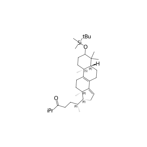 CC(C)C(=O)CC[C@@H](C)[C@H]1CC=C2C3=C(CC[C@@]21C)[C@@]1(C)CCC(O[Si](C)(C)C(C)(C)C)C(C)(C)[C@@H]1CC3